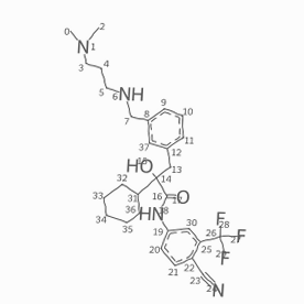 CN(C)CCCNCc1cccc(CC(O)(C(=O)Nc2ccc(C#N)c(C(F)(F)F)c2)C2CCCCC2)c1